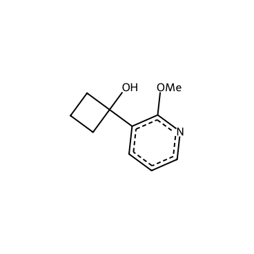 COc1ncccc1C1(O)CCC1